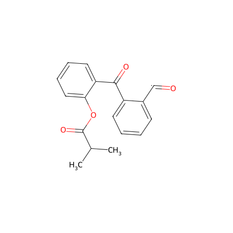 CC(C)C(=O)Oc1ccccc1C(=O)c1ccccc1[C]=O